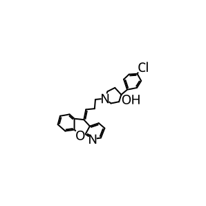 OC1(c2ccc(Cl)cc2)CCN(CCC=C2c3ccccc3Oc3ncccc32)CC1